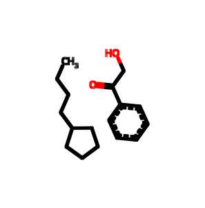 CCCCC1CCCC1.O=C(CO)c1ccccc1